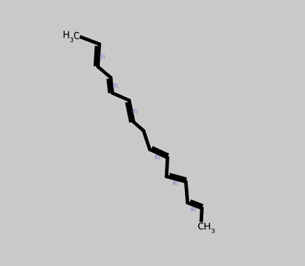 C/C=C/C=C/C=C/C/C=C/C=C/C=C/C